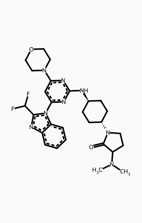 CN(C)C1CCN([C@H]2CC[C@H](Nc3nc(N4CCOCC4)cc(-n4c(C(F)F)nc5ccccc54)n3)CC2)C1=O